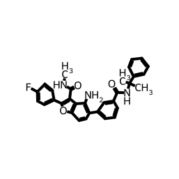 CNC(=O)c1c(-c2ccc(F)cc2)oc2ccc(-c3cccc(C(=O)NC(C)(C)c4ccccc4)c3)c(N)c12